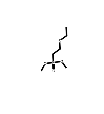 [CH2]CSCCP(=O)(OC)OC